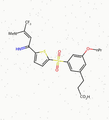 CCCOc1cc(CCC(=O)O)cc(S(=O)(=O)c2ccc(C(=N)/C=C(\NC)C(F)(F)F)s2)c1